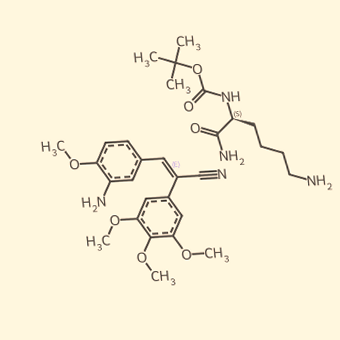 CC(C)(C)OC(=O)N[C@@H](CCCCN)C(N)=O.COc1ccc(/C=C(/C#N)c2cc(OC)c(OC)c(OC)c2)cc1N